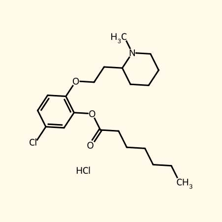 CCCCCCC(=O)Oc1cc(Cl)ccc1OCCC1CCCCN1C.Cl